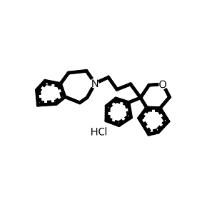 Cl.c1ccc(C2(CCCN3CCc4ccccc4CC3)COCc3ccccc32)cc1